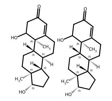 C[C@]12CC[C@H]3[C@@H](CCC4=CC(=O)CC(O)[C@@]43C)[C@@H]1CC[C@@H]2O.C[C@]12CC[C@H]3[C@@H](CCC4=CC(=O)CC(O)[C@@]43C)[C@@H]1CC[C@@H]2O